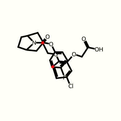 O=C(O)COc1cc(Cl)ccc1OCC(=O)N1C2CCC1CC(Oc1ccc(F)cc1)C2